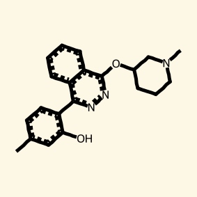 Cc1ccc(-c2nnc(OC3CCCN(C)C3)c3ccccc23)c(O)c1